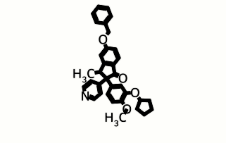 COc1ccc(C2(c3ccncc3)C(=O)c3ccc(OCc4ccccc4)cc3C2C)cc1OC1CCCC1